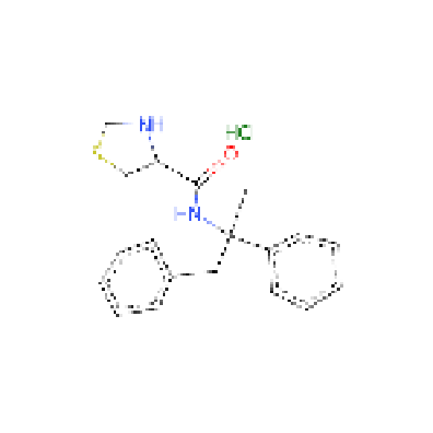 CC(Cc1ccccc1)(NC(=O)C1CSCN1)c1ccccc1.Cl